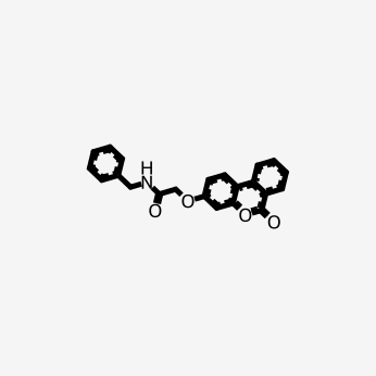 O=C(COc1ccc2c(c1)oc(=O)c1ccccc12)NCc1ccccc1